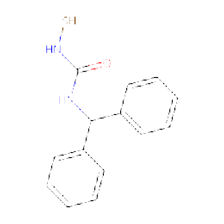 O=C(NS)NC(c1ccccc1)c1ccccc1